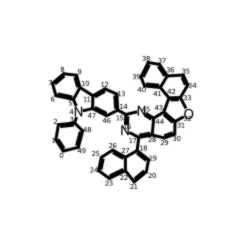 c1ccc(-n2c3ccccc3c3ccc(-c4nc(-c5cccc6ccccc56)c5ccc6oc7ccc8ccccc8c7c6c5n4)cc32)cc1